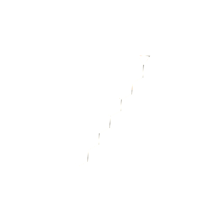 CCCCCCCCCCCCCCCCCSCC1CO1